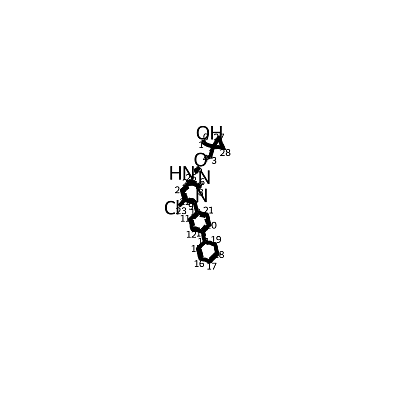 OCC1(COc2nc3nc(-c4ccc(C5C=CC=CC5)cc4)c(Cl)cc3[nH]2)CC1